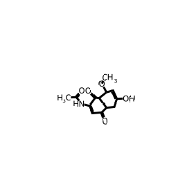 COC1C=C(O)CC2C(=O)C=C(NC(C)=O)C(=O)C12